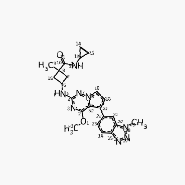 COc1nc(NC2CC(C)(C(=O)NC3CC3)C2)nn2ccc(-c3ccc4nnn(C)c4c3)c12